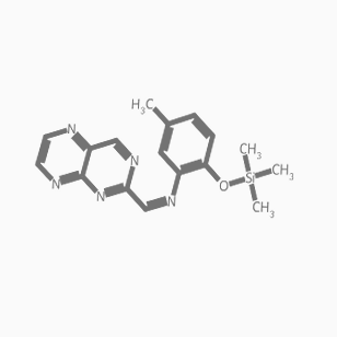 Cc1ccc(O[Si](C)(C)C)c(/N=C\c2ncc3nccnc3n2)c1